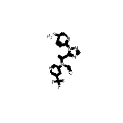 CC(c1ncnn1-c1ccc(N)cn1)N(C=O)c1cncc(C(F)(F)F)c1